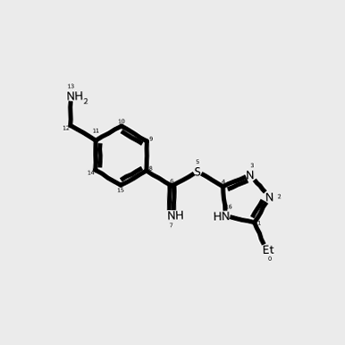 CCc1nnc(SC(=N)c2ccc(CN)cc2)[nH]1